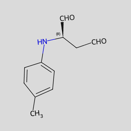 Cc1ccc(N[C@@H](C=O)CC=O)cc1